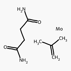 C=C(C)C.NC(=O)CCC(N)=O.[Mo]